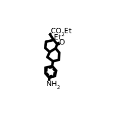 CCOC(=O)CC1(CC)CCC2CC(c3ccc(N)cc3)CCC2C1=O